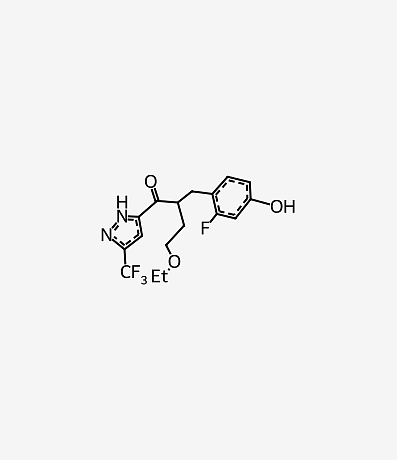 CCOCCC(Cc1ccc(O)cc1F)C(=O)c1cc(C(F)(F)F)n[nH]1